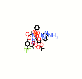 CC(C)C(=O)O[C@H]1[C@H](c2ccc3c(N)ncnn23)O[C@](C#N)(COP(=O)(N[C@@H](C)C(=O)OC[C@H]2CC[C@H](C(F)(F)F)CC2)Oc2ccccc2)[C@H]1OC(=O)C(C)C